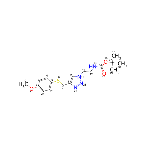 COc1ccc(SCc2cn(CCNC(=O)OC(C)(C)C)nn2)cc1